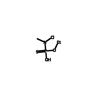 CCOP(O)(=S)N(C)Cl